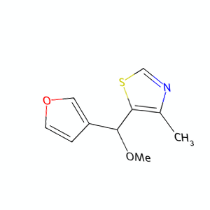 COC(c1ccoc1)c1scnc1C